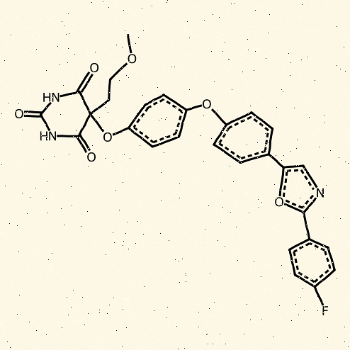 COCCC1(Oc2ccc(Oc3ccc(-c4cnc(-c5ccc(F)cc5)o4)cc3)cc2)C(=O)NC(=O)NC1=O